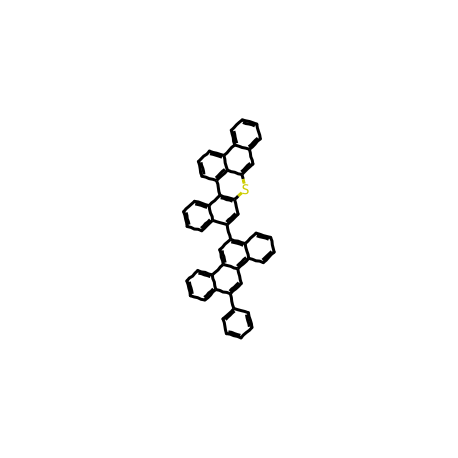 c1ccc(-c2cc3c4ccccc4c(-c4cc5c(c6ccccc46)-c4cccc6c4c(cc4ccccc46)S5)cc3c3ccccc23)cc1